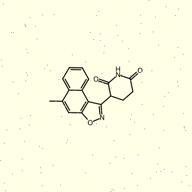 Cc1cc2onc(C3CCC(=O)NC3=O)c2c2ccccc12